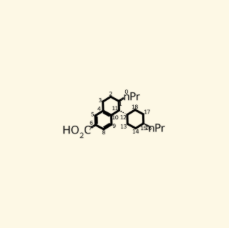 CCCC1CCc2cc(C(=O)O)ccc2C1[C@H]1CC[C@H](CCC)CC1